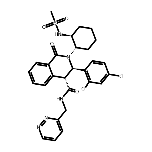 CS(=O)(=O)N[C@H]1CCCC[C@@H]1N1C(=O)c2ccccc2[C@@H](C(=O)NCc2cccnn2)[C@@H]1c1ccc(Cl)cc1Cl